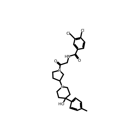 Cc1ccc(C2(O)CCN(C3CCN(C(=O)CNC(=O)c4ccc(Cl)c(Cl)c4)C3)CC2)cc1